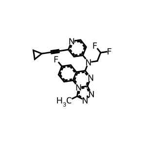 Cc1nnc2nc(N(CC(F)F)c3ccnc(C#CC4CC4)c3)c3cc(F)ccc3n12